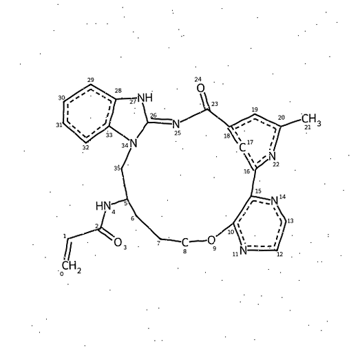 C=CC(=O)NC1CCCOc2nccnc2-c2cc(cc(C)n2)C(=O)/N=C2\Nc3ccccc3N2C1